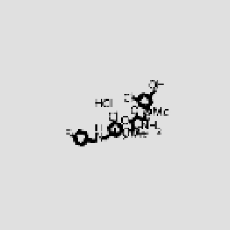 COc1cc(CO)cc(Cl)c1OC(C(N)=O)C(Oc1c(Cl)cc(CNCc2ccc(F)cc2)cc1OC)C(N)=O.Cl